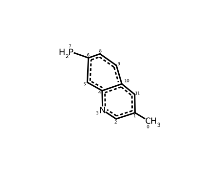 Cc1cnc2cc(P)ccc2c1